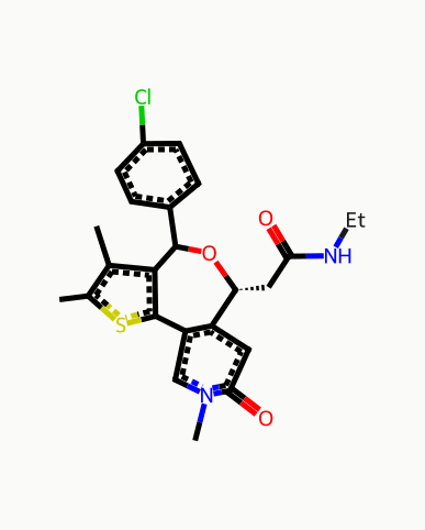 CCNC(=O)C[C@H]1OC(c2ccc(Cl)cc2)c2c(sc(C)c2C)-c2cn(C)c(=O)cc21